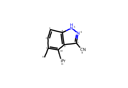 Cc1ccc2[nH]nc(C#N)c2c1C(C)C